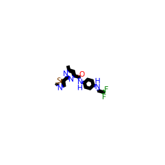 Cc1cc(C(=O)NC2CCC(NCC(F)F)CC2)nc(-c2cncs2)n1